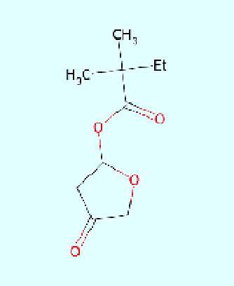 CCC(C)(C)C(=O)OC1CC(=O)CO1